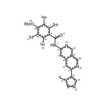 [2H]c1c([2H])c(C(=O)Nc2cc3cc(-c4cncn4C)ncc3cn2)c([2H])c([2H])c1OC